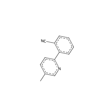 Cc1ccc(-c2ccccc2C#N)nc1